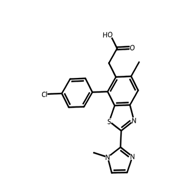 Cc1cc2nc(-c3nccn3C)sc2c(-c2ccc(Cl)cc2)c1CC(=O)O